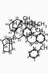 Cc1ccccc1P(Cc1cc([Si](C)(C)C)c([Si](C)(C)C)cc1CP(C1C2CC3CC(C2)CC1C3)C1C2CC3CC(C2)CC1C3)c1ccccc1C